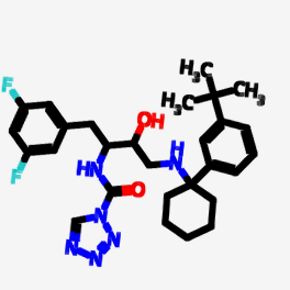 CC(C)(C)c1cccc(C2(NCC(O)C(Cc3cc(F)cc(F)c3)NC(=O)n3cnnn3)CCCCC2)c1